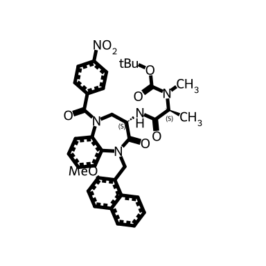 COc1ccc2ccccc2c1CN1C(=O)[C@@H](NC(=O)[C@H](C)N(C)C(=O)OC(C)(C)C)CN(C(=O)c2ccc([N+](=O)[O-])cc2)c2ccccc21